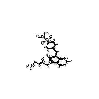 Cc1ccc2c(n1)c(Cc1ccc(S(=O)(=O)N(C)C)cc1)c(C)n2CC(F)=CCN